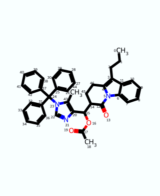 CCCc1c2n(c3ccccc13)C(=O)C(C(OC(C)=O)c1ncn(C(c3ccccc3)(c3ccccc3)c3ccccc3)c1C)CC2